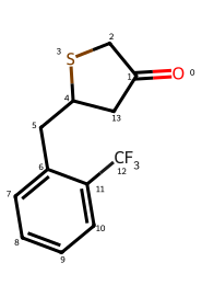 O=C1CSC(Cc2ccccc2C(F)(F)F)C1